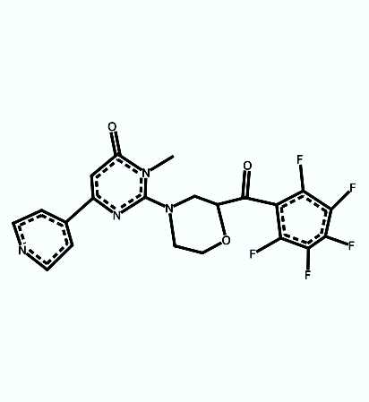 Cn1c(N2CCOC(C(=O)c3c(F)c(F)c(F)c(F)c3F)C2)nc(-c2ccncc2)cc1=O